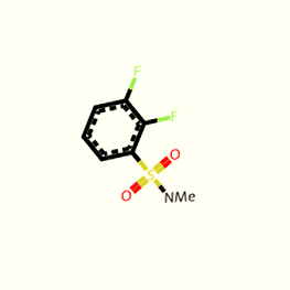 CNS(=O)(=O)c1cccc(F)c1F